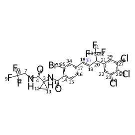 O=C(NC1(C(=O)NCC(F)(F)F)CC1)c1ccc(/C=C/C(c2cc(Cl)c(Cl)c(Cl)c2)C(F)(F)F)cc1Br